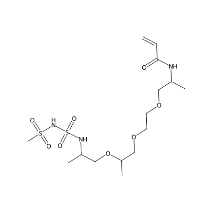 C=CC(=O)NC(C)COCCOCC(C)OCC(C)NS(=O)(=O)NS(C)(=O)=O